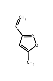 C=Nc1cc(C)on1